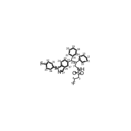 O=S(=O)(CCF)NCC(c1ccccc1)C(c1ccccc1)c1ccc2c(cnn2-c2ccc(F)cc2)c1